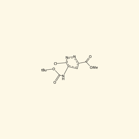 COC(=O)c1cc(NC(=O)OC(C)(C)C)c(Cl)nn1